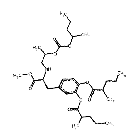 CCCC(C)OC(=O)OC(C)CN[C@@H](Cc1ccc(OC(=O)C(C)CCC)c(OC(=O)C(C)CCC)c1)C(=O)OC